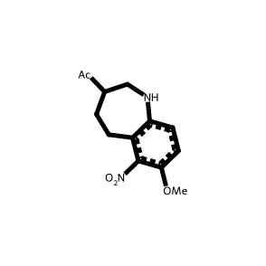 COc1ccc2c(c1[N+](=O)[O-])CCC(C(C)=O)CN2